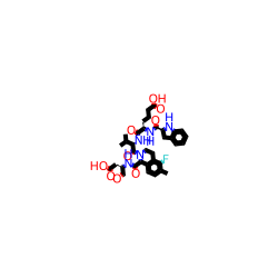 Cc1ccc2c(c1F)CCN(C(=O)[C@@H](NC(=O)[C@H](CCCC(=O)O)NC(=O)[C@@H]1Cc3ccccc3N1)C(C)C)C2C(=O)N[C@H](C=O)CC(=O)O